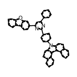 c1ccc(-c2cc(-c3ccc4c(c3)oc3ccccc34)nc(-c3ccc(-n4c5ccc6ccccc6c5c5c6ccccc6ccc54)cc3)n2)cc1